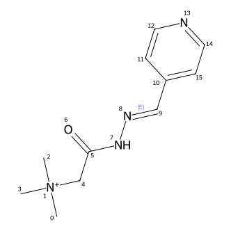 C[N+](C)(C)CC(=O)N/N=C/c1ccncc1